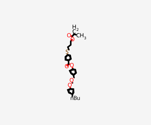 C=C(C)C(=O)OCCCCSc1ccc(C(=O)Oc2ccc(COCOc3ccc(CCCC)cc3)cc2)cc1